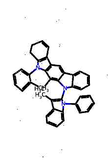 Cc1ccccc1-n1c2c(c3cc4c5ccccc5n(-c5c(C)c6ccccc6n5-c5ccccc5)c4c(C)c31)C=CCC2